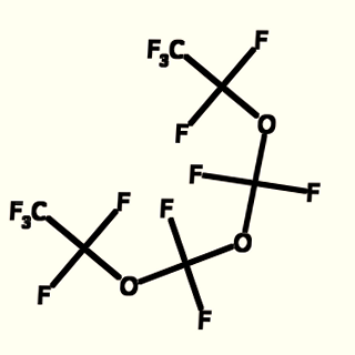 FC(F)(OC(F)(F)OC(F)(F)C(F)(F)F)OC(F)(F)C(F)(F)F